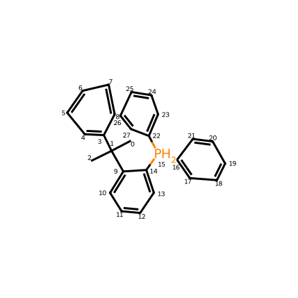 CC(C)(c1ccccc1)c1ccccc1[PH2](c1ccccc1)c1ccccc1